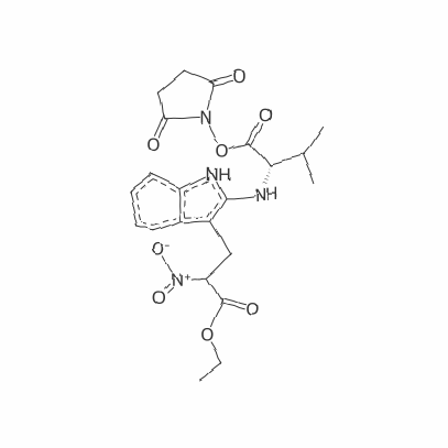 CCOC(=O)C(Cc1c(N[C@H](C(=O)ON2C(=O)CCC2=O)C(C)C)[nH]c2ccccc12)[N+](=O)[O-]